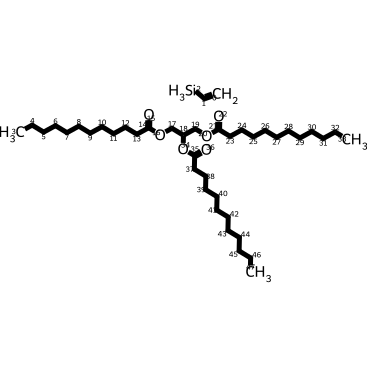 C=C[SiH3].CCCCCCCCCCCC(=O)OCC(COC(=O)CCCCCCCCCCC)OC(=O)CCCCCCCCCCC